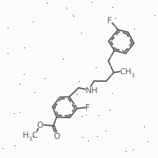 COC(=O)c1ccc(CNCCC(C)Cc2cccc(F)c2)c(F)c1